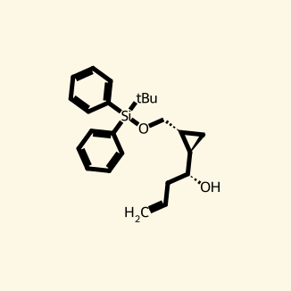 C=CC[C@@H](O)[C@@H]1C[C@H]1CO[Si](c1ccccc1)(c1ccccc1)C(C)(C)C